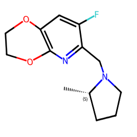 C[C@H]1CCCN1Cc1nc2c(cc1F)OCCO2